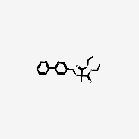 CCOC(=O)C(C)(OCc1ccc(-c2ccccc2)cc1)C(=O)OCC